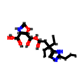 CCCc1ncc(C(CC)(CC)CC(=O)OC(=O)c2ocnc2C(=O)O)[nH]1